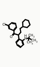 CC(C)(C)Nc1ccccc1C(CCC1CCCCC1)C(=O)c1cccc(Cl)c1